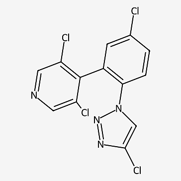 Clc1ccc(-n2cc(Cl)nn2)c(-c2c(Cl)cncc2Cl)c1